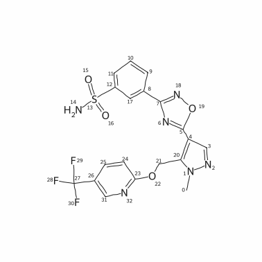 Cn1ncc(-c2nc(-c3cccc(S(N)(=O)=O)c3)no2)c1COc1ccc(C(F)(F)F)cn1